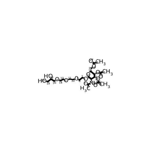 CC(=O)N[C@H]1[C@H](OCCOCCOCCOC[C@H](O)CO)O[C@H](COC(C)=O)[C@H](OC(C)=O)[C@@H]1OC(C)=O